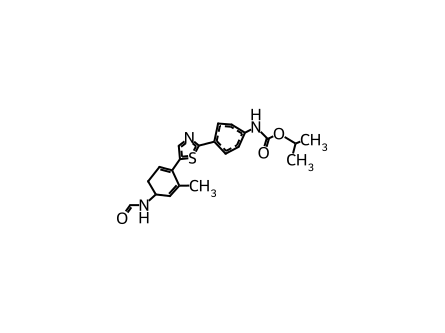 CC1=CC(NC=O)CC=C1c1cnc(-c2ccc(NC(=O)OC(C)C)cc2)s1